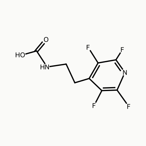 O=C(O)NCCc1c(F)c(F)nc(F)c1F